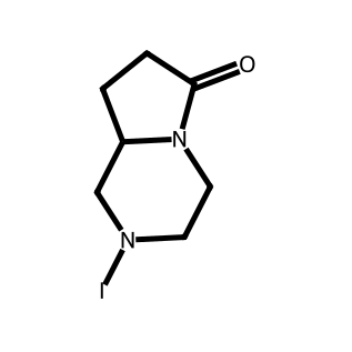 O=C1CCC2CN(I)CCN12